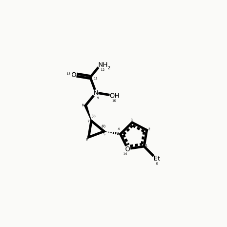 CCc1ccc([C@@H]2C[C@H]2CN(O)C(N)=O)o1